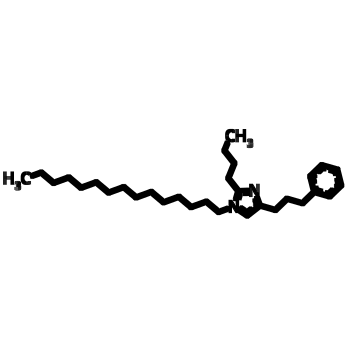 CCCCCCCCCCCCCCCn1cc(CCCc2ccccc2)nc1CCCC